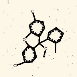 COC1(c2ccccc2C)c2ccc(Cl)cc2Oc2cc(Cl)ccc21